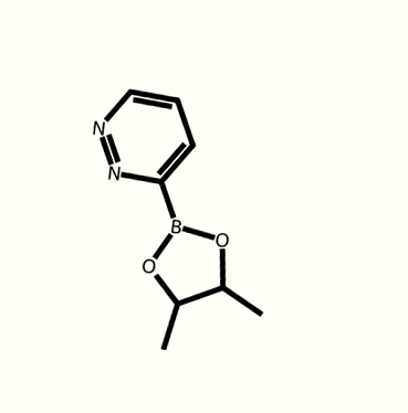 CC1OB(c2cccnn2)OC1C